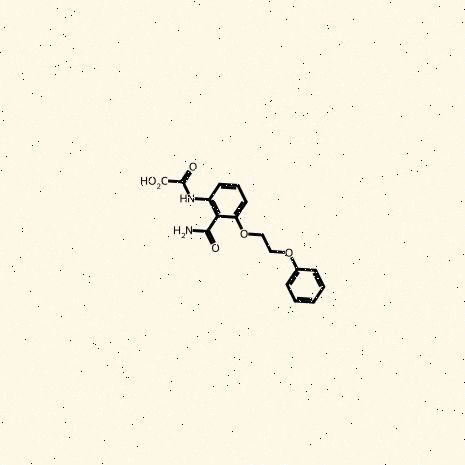 NC(=O)c1c(NC(=O)C(=O)O)cccc1OCCOc1ccccc1